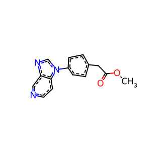 COC(=O)Cc1ccc(-n2cnc3cnccc32)cc1